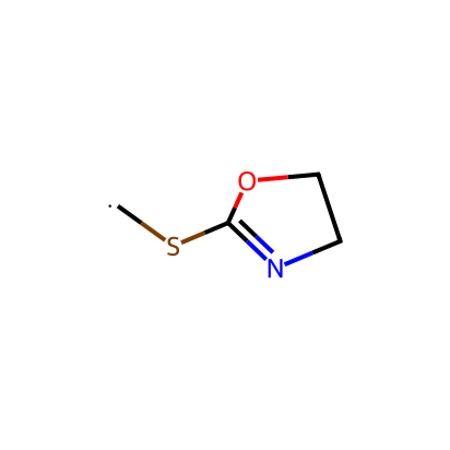 [CH2]SC1=NCCO1